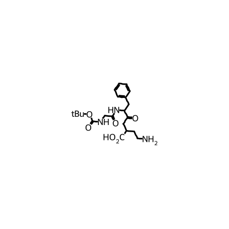 CC(C)(C)OC(=O)NCC(=O)NC(Cc1ccccc1)C(=O)CC(CCN)C(=O)O